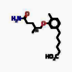 Cc1ccc(CCCCCC(=O)O)cc1OC[C@@H](C)CCC(N)=O